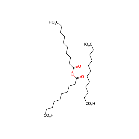 O=C(O)CCCCCCCCC(=O)OC(=O)CCCCCCCCC(=O)O.O=C(O)CCCCCCCCCCC(=O)O